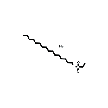 CCCCCCCCCCCCCCCCOS(=O)(=O)CC.[NaH]